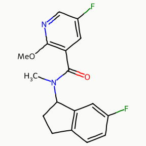 COc1ncc(F)cc1C(=O)N(C)C1CCc2ccc(F)cc21